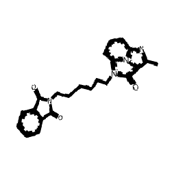 Cc1nc2cccc3n(CCCCCCN4C(=O)c5ccccc5C4=O)c(=O)c1n23